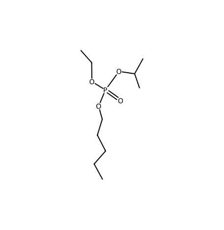 CCCCCOP(=O)(OCC)OC(C)C